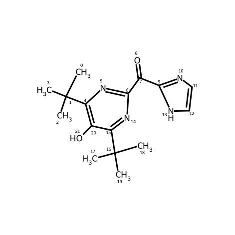 CC(C)(C)c1nc(C(=O)c2ncc[nH]2)nc(C(C)(C)C)c1O